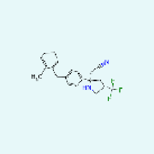 Cc1ccccc1Cc1ccc([C@@]2(CC#N)C[C@H](C(F)(F)F)CN2)cc1